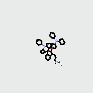 C=C/C=C\C1=C(c2ccc(N(c3ccccc3)c3ccccc3)cc2)C2(c3ccccc31)c1ccccc1N(c1ccccc1)c1ccccc12